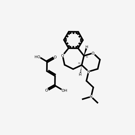 CN(C)CCN1CCO[C@H]2c3ccccc3OCC[C@@H]21.O=C(O)C=CC(=O)O